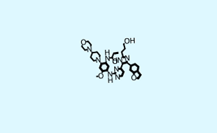 C=CC(=O)Nc1cc(Nc2nccc(-c3[nH]c(CCCO)nc3-c3ccc4ccoc4c3)n2)c(OC)cc1N1CCC(N2CCOCC2)CC1